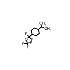 CC(C)C1CCC(C(F)(F)OC(F)(F)F)CC1